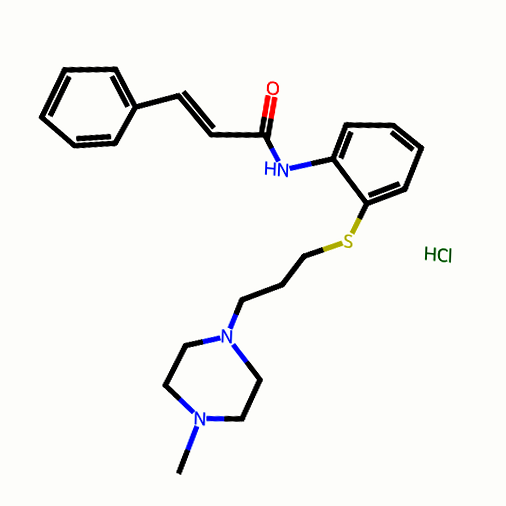 CN1CCN(CCCSc2ccccc2NC(=O)C=Cc2ccccc2)CC1.Cl